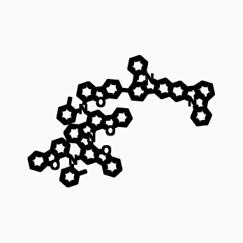 Cc1ccccc1N(c1cccc2c1oc1ccccc12)c1cc2c3ccccc3oc2c2c1c1cccc3c4c(N(c5ccccc5C)c5cccc6c5oc5cc(-c7ccc8c9cc%10cc%11c(cc%10cc9n9c%10ccccc%10c7c89)c7cccc8c9ccccc9n%11c87)ccc56)cc5c6ccccc6oc5c4n2c13